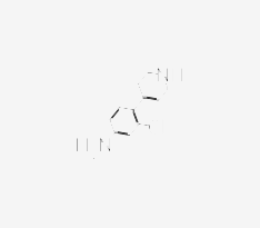 Nc1ccc(C2=CCNCC2)c(Cl)c1